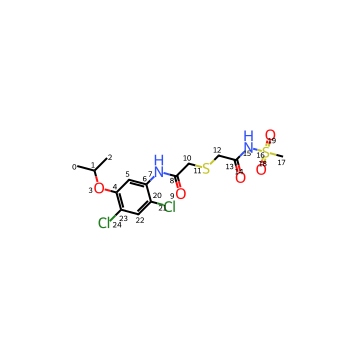 CC(C)Oc1cc(NC(=O)CSCC(=O)NS(C)(=O)=O)c(Cl)cc1Cl